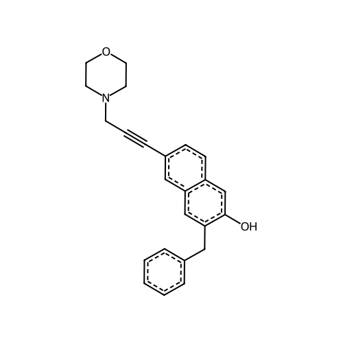 Oc1cc2ccc(C#CCN3CCOCC3)cc2cc1Cc1ccccc1